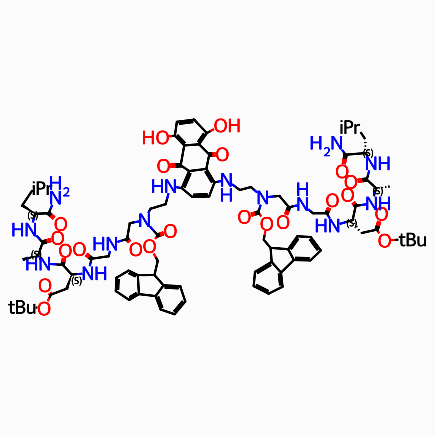 CC(C)C[C@H](NC(=O)[C@H](C)NC(=O)[C@H](CC(=O)OC(C)(C)C)NC(=O)CNC(=O)CN(CCNc1ccc(NCCN(CC(=O)NCC(=O)N[C@@H](CC(=O)OC(C)(C)C)C(=O)N[C@@H](C)C(=O)N[C@@H](CC(C)C)C(N)=O)C(=O)OCC2c3ccccc3-c3ccccc32)c2c1C(=O)c1c(O)ccc(O)c1C2=O)C(=O)OCC1c2ccccc2-c2ccccc21)C(N)=O